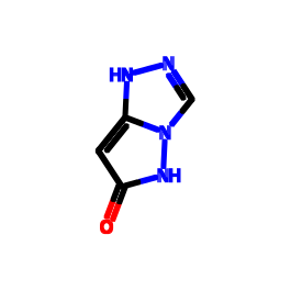 O=c1cc2[nH]ncn2[nH]1